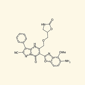 COc1c(N)ccc2oc(-c3c(COCC4CNC(=O)O4)[nH]c4c(-c5ccccc5)c(C#N)nn4c3=O)nc12